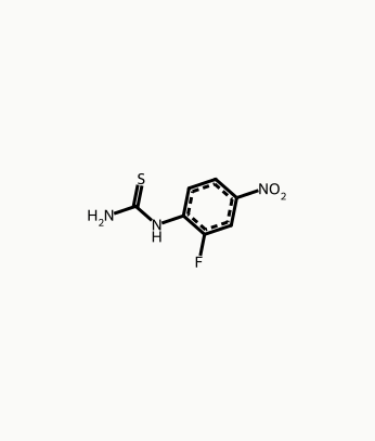 NC(=S)Nc1ccc([N+](=O)[O-])cc1F